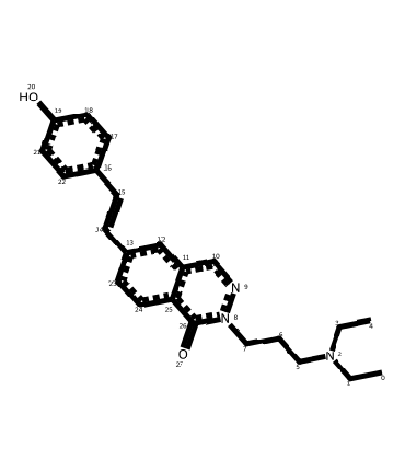 CCN(CC)CCCn1ncc2cc(C=Cc3ccc(O)cc3)ccc2c1=O